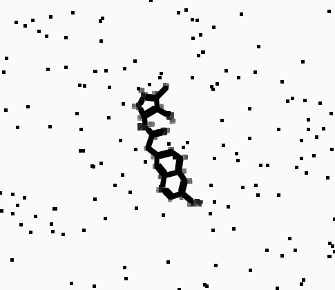 CCCc1cnc2cc(CC(=O)Nc3snc(C)c3Cl)ccc2c1